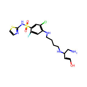 NCC(/C=C/O)NCCCCNc1cc(F)c(S(=O)(=O)Nc2nccs2)cc1Cl